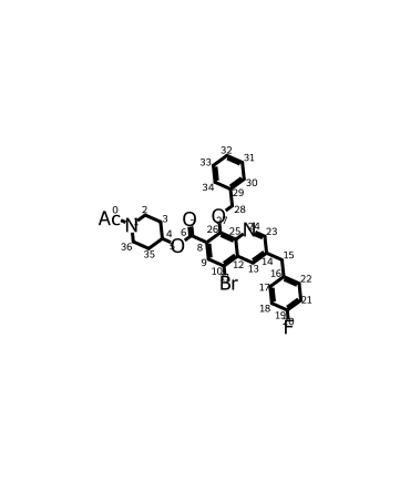 CC(=O)N1CCC(OC(=O)c2cc(Br)c3cc(Cc4ccc(F)cc4)cnc3c2OCc2ccccc2)CC1